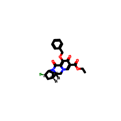 CCOC(=O)c1cn2c(c(OCc3ccccc3)c1=O)C(=O)N1C3C[C@H](C[C@@H]3F)[C@H]1C2